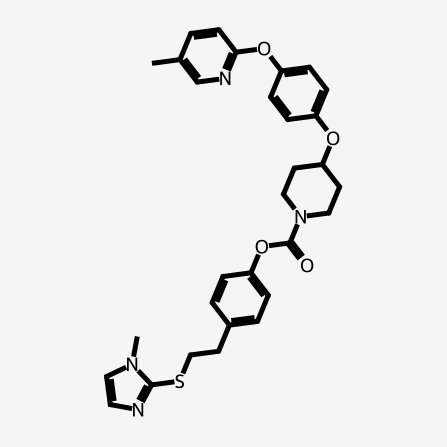 Cc1ccc(Oc2ccc(OC3CCN(C(=O)Oc4ccc(CCSc5nccn5C)cc4)CC3)cc2)nc1